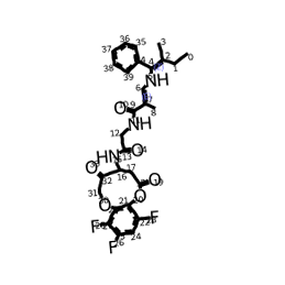 CC/C(C)=C(\N/C=C(\C)C(=O)NCC(=O)NC1CC(=O)Oc2c(F)cc(F)c(F)c2OCC1=O)c1ccccc1